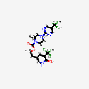 C[C@@H](Cc1c[nH]c(=O)c(C(F)(F)F)c1)OC(=O)N1CCN(c2ncc(C(F)(F)F)cn2)C[C@@H]1C